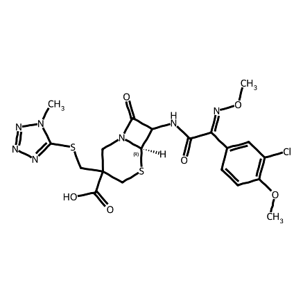 CON=C(C(=O)NC1C(=O)N2CC(CSc3nnnn3C)(C(=O)O)CS[C@H]12)c1ccc(OC)c(Cl)c1